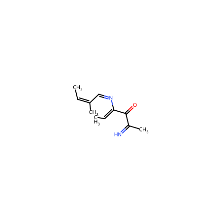 C\C=C(C)/C=N\C(=C/C)C(=O)C(C)=N